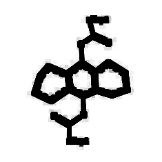 CCCCCCCC(=O)Oc1c2ccccc2c(OC(=O)CCCCCCC)c2ccccc12